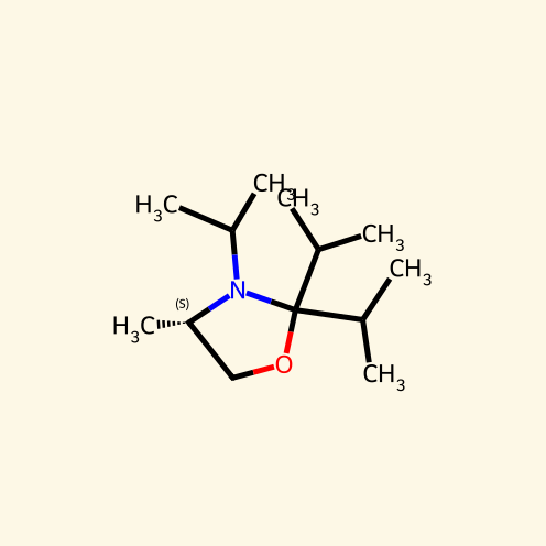 CC(C)N1[C@@H](C)COC1(C(C)C)C(C)C